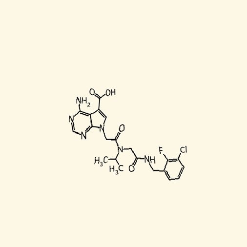 CC(C)N(CC(=O)NCc1cccc(Cl)c1F)C(=O)Cn1cc(C(=O)O)c2c(N)ncnc21